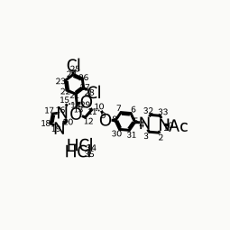 CC(=O)N1CCN(c2ccc(OC[C@@H]3CO[C@@](Cn4ccnc4)(c4ccc(Cl)cc4Cl)O3)cc2)CC1.Cl.Cl